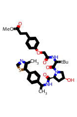 COC(=O)CCc1ccc(OCC(=O)NC(C(=O)N2C[C@H](O)C[C@H]2C(=O)NC(C)c2ccc(-c3scnc3C)cc2)C(C)(C)C)cc1